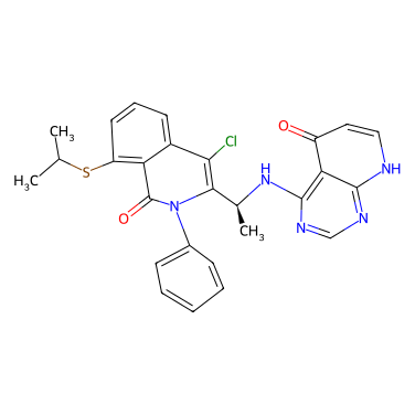 CC(C)Sc1cccc2c(Cl)c([C@H](C)Nc3ncnc4[nH]ccc(=O)c34)n(-c3ccccc3)c(=O)c12